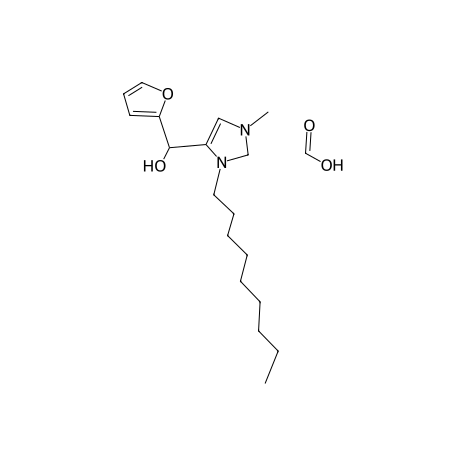 CCCCCCCCCN1CN(C)C=C1C(O)c1ccco1.O=CO